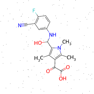 Cc1c(C(=O)C(=O)O)c(C)n(C)c1C(O)Nc1ccc(F)c(C#N)c1